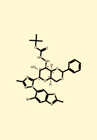 Cc1nc([C@@H]2O[C@@H]3COC(c4ccccc4)O[C@@H]3[C@H](NNC(=O)OC(C)(C)C)[C@H]2O)n(-c2cc3sc(C)nc3cc2Br)n1